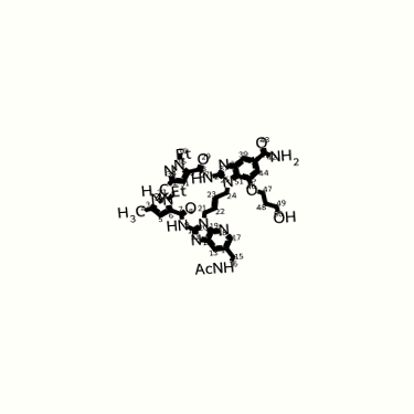 CCn1nc(C)cc1C(=O)Nc1nc2cc(CNC(C)=O)cnc2n1C/C=C/Cn1c(NC(=O)c2cc(C)nn2CC)nc2cc(C(N)=O)cc(OCCCO)c21